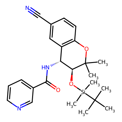 CC1(C)Oc2ccc(C#N)cc2[C@@H](NC(=O)c2cccnc2)[C@@H]1O[Si](C)(C)C(C)(C)C